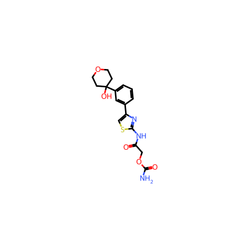 NC(=O)OCC(=O)Nc1nc(-c2cccc(C3(O)CCOCC3)c2)cs1